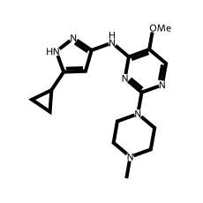 COc1cnc(N2CCN(C)CC2)nc1Nc1cc(C2CC2)[nH]n1